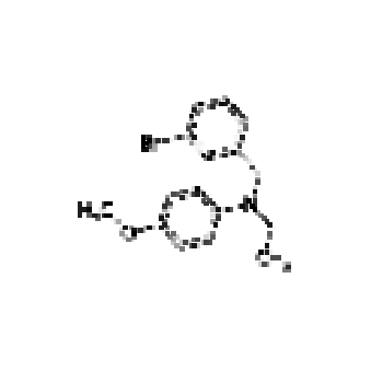 CCN(Cc1cccc(Br)c1)c1ccc(OC)cc1